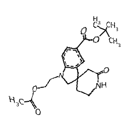 CC(=O)OCCN1CC2(CCNC(=O)C2)c2cc(C(=O)OC(C)(C)C)ccc21